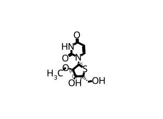 CO[C@@H]1[C@H](O)[C@@H](CO)S[C@H]1n1ccc(=O)[nH]c1=O